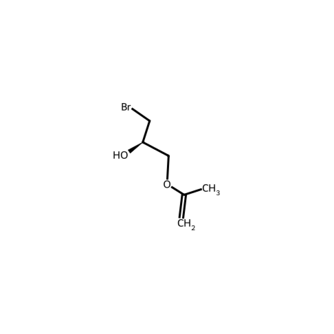 C=C(C)OC[C@@H](O)CBr